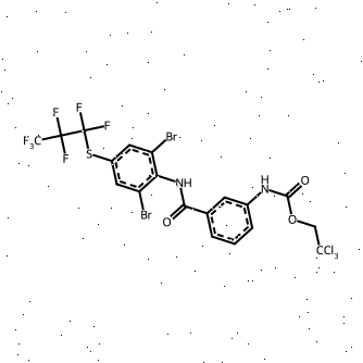 O=C(Nc1cccc(C(=O)Nc2c(Br)cc(SC(F)(F)C(F)(F)C(F)(F)F)cc2Br)c1)OCC(Cl)(Cl)Cl